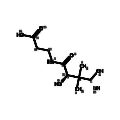 CC(C)(CO)[C@@H](O)C(=O)NCCC(=O)O.[LiH]